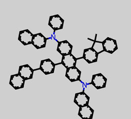 CC1(C)c2ccccc2-c2ccc(-c3c4ccc(N(c5ccccc5)c5ccc6ccccc6c5)cc4c(-c4ccc(-c5ccc6ccccc6c5)cc4)c4ccc(N(c5ccccc5)c5ccc6ccccc6c5)cc34)cc21